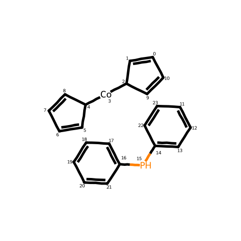 C1=C[CH]([Co][CH]2C=CC=C2)C=C1.c1ccc(Pc2ccccc2)cc1